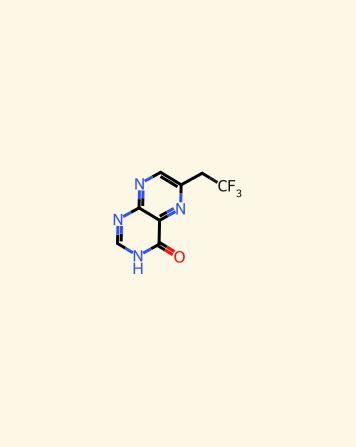 O=c1[nH]cnc2ncc(CC(F)(F)F)nc12